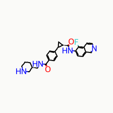 O=C(NC[C@@H]1CCCNC1)c1ccc(C2C[C@H]2C(=O)Nc2ccc3cnccc3c2F)cc1